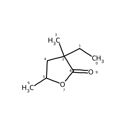 CCC1(C)CC(C)OC1=O